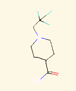 Cl.NC(=O)C1CCN(CC(F)(F)F)CC1